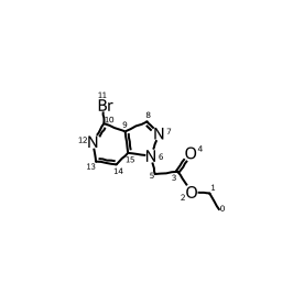 CCOC(=O)Cn1ncc2c(Br)nccc21